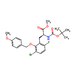 COC(=O)[C@H](Cc1c(F)ccc(Br)c1OCc1ccc(OC)cc1)NC(=O)OC(C)(C)C